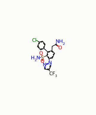 NC(=O)Cc1ccc(-n2cc(C(F)(F)F)cn2)c(S(N)(=O)=O)c1-c1ccc(Cl)cc1